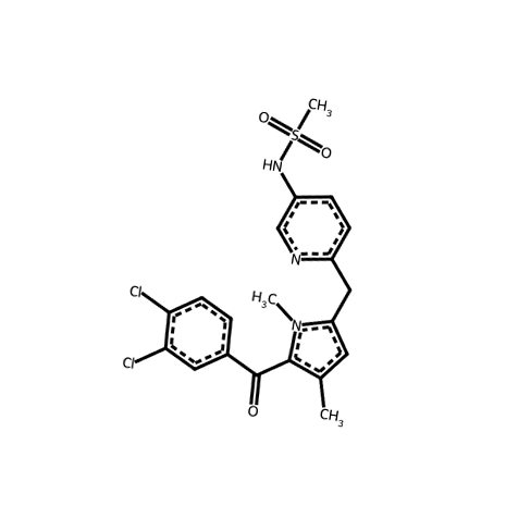 Cc1cc(Cc2ccc(NS(C)(=O)=O)cn2)n(C)c1C(=O)c1ccc(Cl)c(Cl)c1